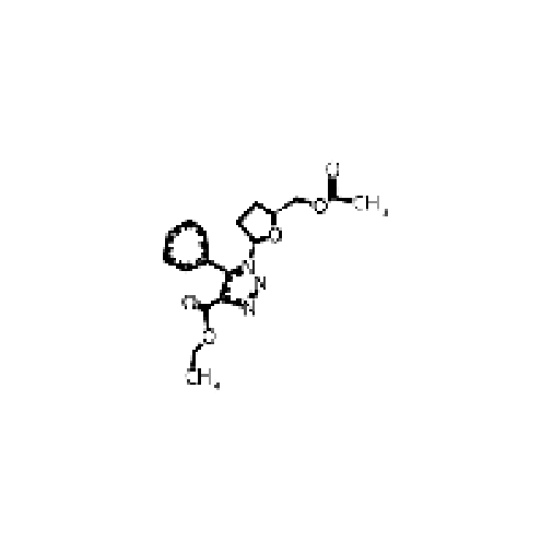 CCOC(=O)c1nnn([C@H]2CC[C@@H](COC(C)=O)O2)c1-c1ccccc1